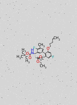 C=CCCCOc1cc(F)cc(C)c1-c1cc(C)c(F)c([C@H](CC(=O)OCC)NC(=O)OC(C)(C)C)c1